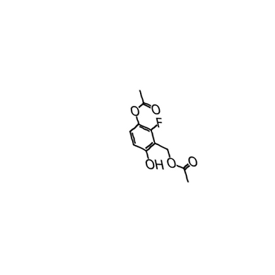 CC(=O)OCc1c(O)ccc(OC(C)=O)c1F